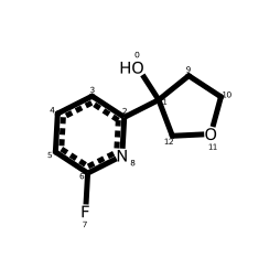 OC1(c2cccc(F)n2)CCOC1